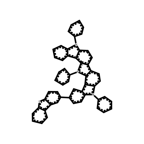 c1ccc(-n2c3ccccc3c3c2ccc2c4ccc5c(c6cc(-c7ccc8sc9ccccc9c8c7)ccc6n5-c5ccccc5)c4n(-c4ccccc4)c23)cc1